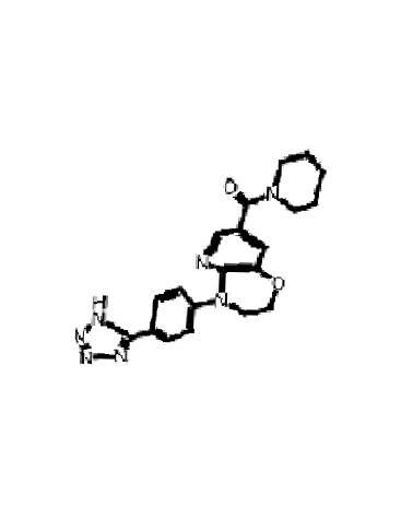 O=C(c1cnc2c(c1)OCCN2c1ccc(-c2nnn[nH]2)cc1)N1CCCCC1